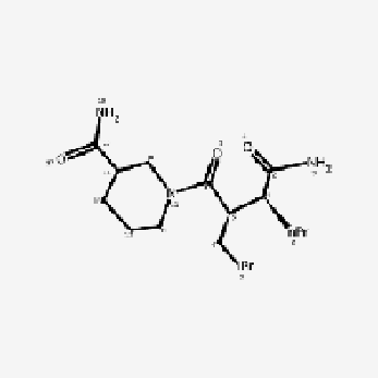 CCC[C@H](C(N)=O)[C@@H](CC(C)C)C(=O)N1CCCC(C(N)=O)C1